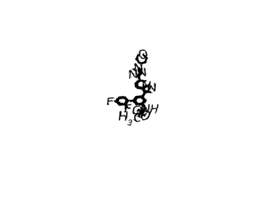 CS(=O)(=O)Nc1cc(-c2ccc(F)cc2F)cc(-c2cnn3cc(-c4ncn(C5CCOCC5)n4)ccc23)c1